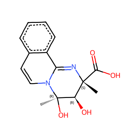 C[C@]1(C(=O)O)N=C2c3ccccc3C=CN2[C@](C)(O)[C@@H]1O